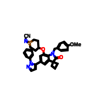 COc1ccc(CN2C(=O)C3(CCC3)c3cc(-c4ccnn4-c4ccccc4)cc(OC4CCS(=NC#N)CC4)c32)cc1